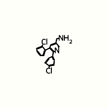 NCc1cnc(-c2ccc(Cl)cc2)c(-c2ccccc2Cl)c1